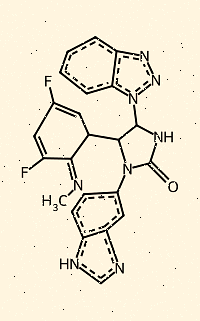 CN=C1C(F)=CC(F)=CC1C1C(n2nnc3ccccc32)NC(=O)N1c1ccc2[nH]cnc2c1